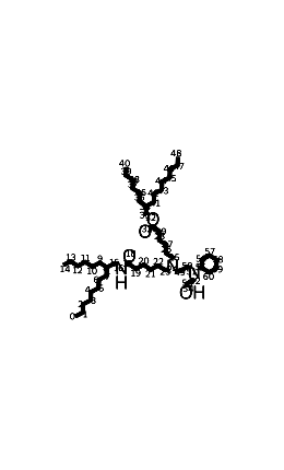 CCCCCCCCC(CCCCCC)CNC(=O)CCCCCN(CCCCCC(=O)OCC(CCCCCC)CCCCCCCC)CCN(CCO)C1CCCCC1